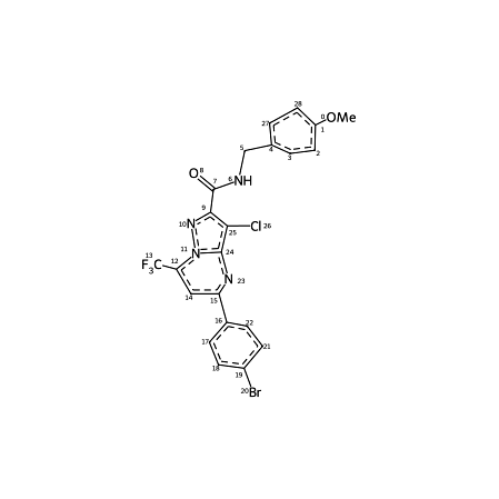 COc1ccc(CNC(=O)c2nn3c(C(F)(F)F)cc(-c4ccc(Br)cc4)nc3c2Cl)cc1